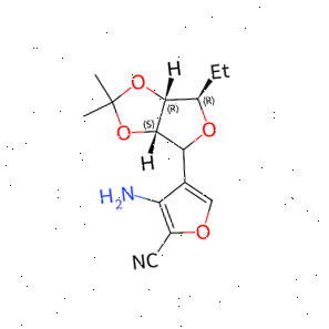 CC[C@H]1OC(c2coc(C#N)c2N)[C@@H]2OC(C)(C)O[C@H]12